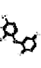 O=C1C=CC(=O)C(Oc2ccc(Br)cc2Br)=C1